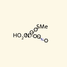 CSc1ccc(COC2CN(C(=O)O)CCC2c2ccc(OC/C=C/c3ccccc3)cc2)cc1